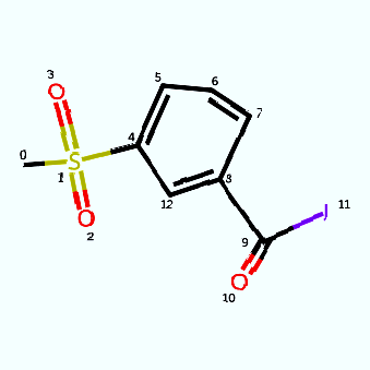 CS(=O)(=O)c1cccc(C(=O)I)c1